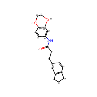 O=C(CCc1ccc2c(c1)CCC2)Nc1ccc2c(c1)OCCO2